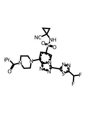 CC(C)C(=O)N1CCN(c2cc(S(=O)(=O)NC3(C#N)CC3)cn3c(-c4nnc(C(F)F)s4)nnc23)CC1